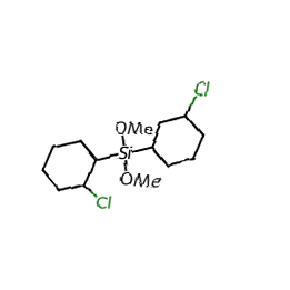 CO[Si](OC)(C1CCCC(Cl)C1)C1CCCCC1Cl